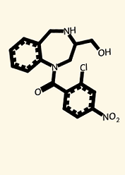 O=C(c1ccc([N+](=O)[O-])cc1Cl)N1CC(CO)NCc2ccccc21